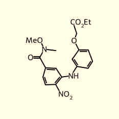 CCOC(=O)COc1cccc(Nc2cc(C(=O)N(C)OC)ccc2[N+](=O)[O-])c1